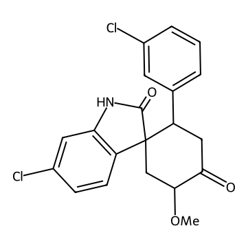 COC1CC2(C(=O)Nc3cc(Cl)ccc32)C(c2cccc(Cl)c2)CC1=O